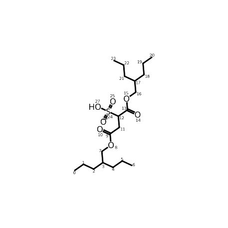 CCCC(CCC)COC(=O)CC(C(=O)OCC(CCC)CCC)S(=O)(=O)O